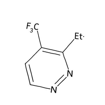 C[CH]c1nnccc1C(F)(F)F